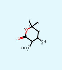 CCOC(=O)C1C(=O)OC(C)(C)CC1C#N